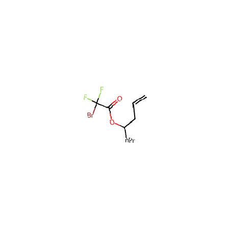 C=CCC(CCC)OC(=O)C(F)(F)Br